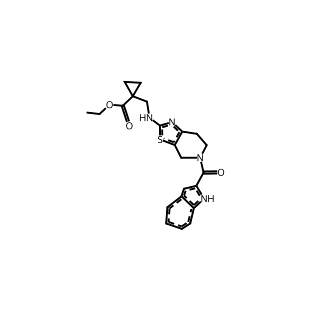 CCOC(=O)C1(CNc2nc3c(s2)CN(C(=O)c2cc4ccccc4[nH]2)CC3)CC1